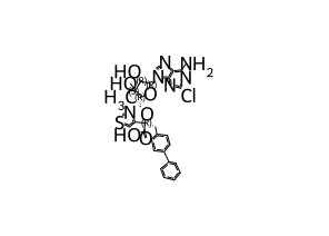 C[C@@]1(O)[C@@H](CO[C@@](Cc2ccc(-c3ccccc3)cc2)(C(=O)O)c2cscn2)O[C@@H](n2cnc3c(N)nc(Cl)nc32)[C@@H]1O